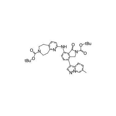 Cc1ccc2c(-c3ccc(Nc4ccc5c(n4)CCN(C(=O)OC(C)(C)C)CC5)c4c3CN(C(=O)OC(C)(C)C)C4=O)cnn2c1